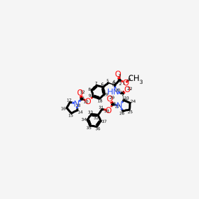 COC(=O)[C@H](Cc1ccc(OC(=O)N2CCCC2)cc1)NC(=O)[C@@H]1CCCN1C(=O)OCc1ccccc1